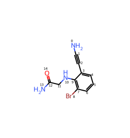 NC#Cc1cccc(Br)c1NCC(N)=O